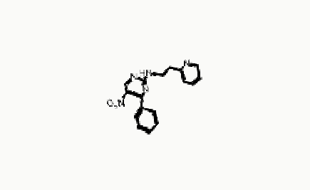 O=[N+]([O-])c1cnc(NCCc2ccccn2)nc1-c1ccccc1